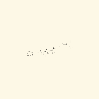 CC(C)CC(C)(C)C(=O)OCOC(=O)[C@@H]1N2C(=O)[C@@H](NC(=O)COc3ccccc3)[C@H]2SC1(C)C